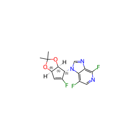 CC1(C)O[C@H]2[C@H](n3cnc4c(F)ncc(F)c43)C(F)=C[C@H]2O1